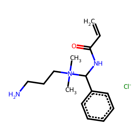 C=CC(=O)NC(c1ccccc1)[N+](C)(C)CCCN.[Cl-]